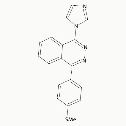 CSc1ccc(-c2nnc(-n3ccnc3)c3ccccc23)cc1